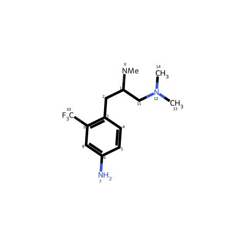 CNC(Cc1ccc(N)cc1C(F)(F)F)CN(C)C